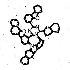 C1=Cc2ccc(C3N=C(c4cccc5c4oc4ccccc45)N=c4c5c6oc7c8ccccc8ccc7c6ccc5n5c6cc7ccccc7cc6c6ccc(cc65)n43)cc2CC1